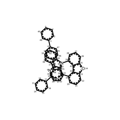 c1ccc(-c2ccc(-c3nc(-c4ccccc4)nc(-c4cccc5oc6cccc(-n7c8ccccc8c8ccccc87)c6c45)n3)cc2)cc1